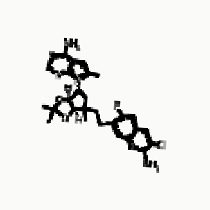 Cc1cc2c(N)ncnc2n1[C@@H]1CC(C)(CCc2cc3nc(N)c(Cl)cc3cc2F)[C@H]2OC(C)(C)O[C@@H]12